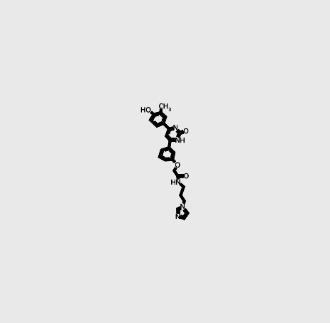 Cc1cc(-c2cc(-c3cccc(OCC(=O)NCCCn4ccnc4)c3)[nH]c(=O)n2)ccc1O